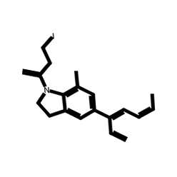 C=C/C(=C\C=C/C)c1cc(C)c2c(c1)CCN2C(=C)CCI